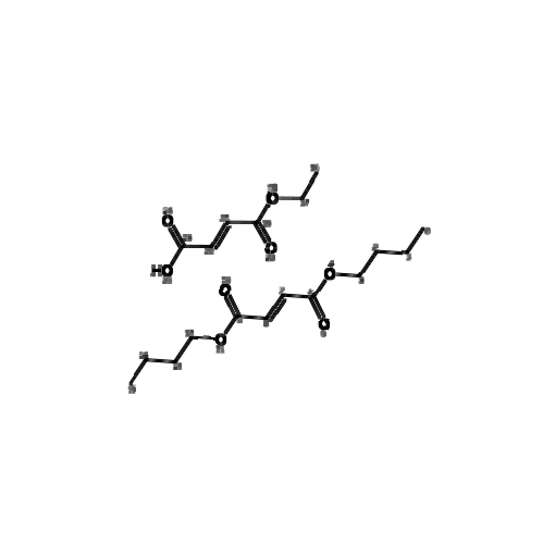 CCCCOC(=O)C=CC(=O)OCCCC.CCOC(=O)C=CC(=O)O